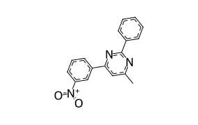 Cc1cc(-c2cccc([N+](=O)[O-])c2)nc(-c2ccccc2)n1